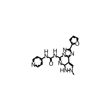 CN1C=C2c3nc(-c4ccco4)nn3C(NC(=O)Nc3ccncc3)=NC2N1